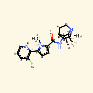 C[C@H]1[C@H](NC(=O)c2ccc(-c3ncccc3F)n2C)C2CCN1CC2